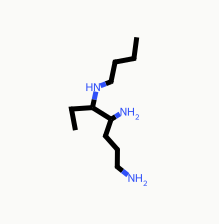 CCCCNC(CC)C(N)CCCN